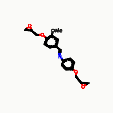 COc1cc(C=Nc2ccc(OCC3CO3)cc2)ccc1OCC1CO1